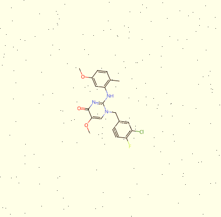 COc1ccc(C)c(Nc2nc(=O)c(OC)cn2Cc2c#cc(F)c(Cl)c2)c1